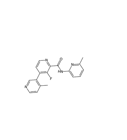 Cc1cccc(NC(=O)c2nccc(-c3cnccc3C)c2F)n1